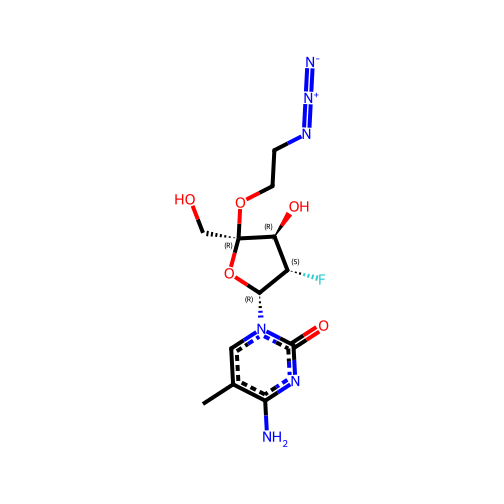 Cc1cn([C@@H]2O[C@@](CO)(OCCN=[N+]=[N-])[C@@H](O)[C@@H]2F)c(=O)nc1N